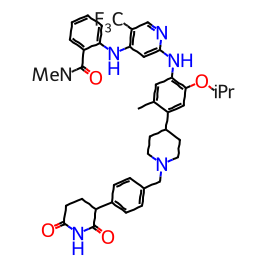 CNC(=O)c1ccccc1Nc1cc(Nc2cc(C)c(C3CCN(Cc4ccc(C5CCC(=O)NC5=O)cc4)CC3)cc2OC(C)C)ncc1C(F)(F)F